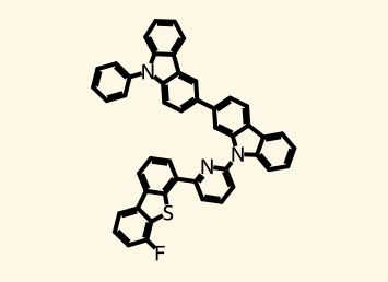 Fc1cccc2c1sc1c(-c3cccc(-n4c5ccccc5c5ccc(-c6ccc7c(c6)c6ccccc6n7-c6ccccc6)cc54)n3)cccc12